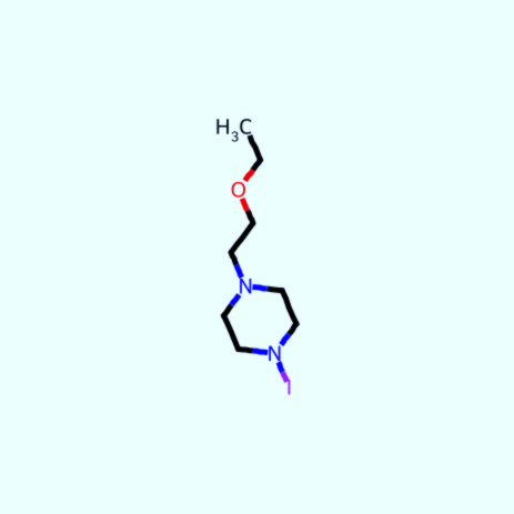 CCOCCN1CCN(I)CC1